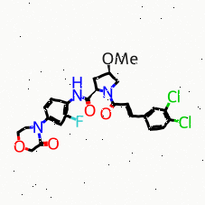 CO[C@@H]1C[C@H](C(=O)Nc2ccc(N3CCOCC3=O)cc2F)N(C(=O)/C=C/c2ccc(Cl)c(Cl)c2)C1